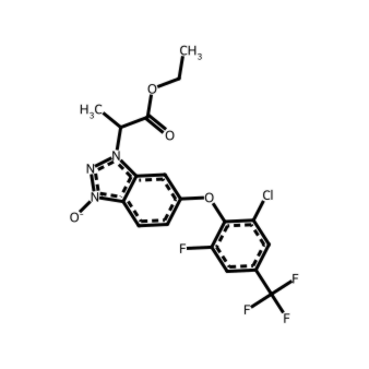 CCOC(=O)C(C)n1n[n+]([O-])c2ccc(Oc3c(F)cc(C(F)(F)F)cc3Cl)cc21